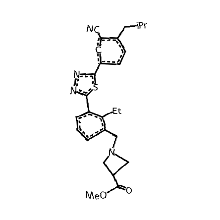 CCc1c(CN2CC(C(=O)OC)C2)cccc1-c1nnc(-c2ccc(CC(C)C)c(C#N)c2)s1